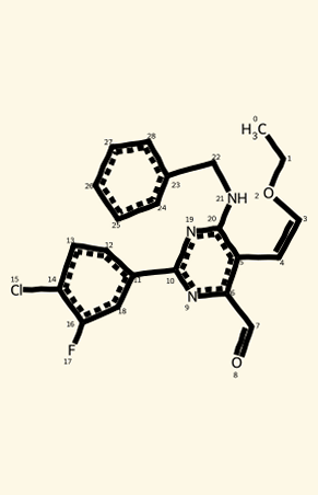 CCO/C=C\c1c(C=O)nc(-c2ccc(Cl)c(F)c2)nc1NCc1ccccc1